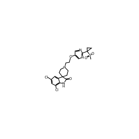 CS(=O)(=O)C1(c2ncc(OCCN3CCC4(CC3)C(=O)Nc3c(Cl)cc(Cl)cc34)cn2)CC1